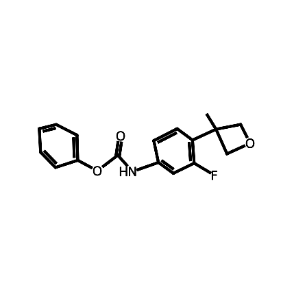 CC1(c2ccc(NC(=O)Oc3ccccc3)cc2F)COC1